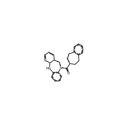 O=C(C1CCc2ccccc2CC1)N1CC2C=CC=NC2Nc2ccccc21